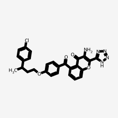 CC(CCOc1ccc(C(=O)c2cccc3oc(-c4nnn[nH]4)c(N)c(=O)c23)cc1)c1ccc(Cl)cc1